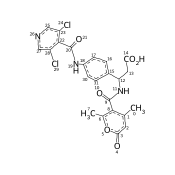 Cc1cc(=O)oc(C)c1C(=O)NC(CC(=O)O)c1ccc(NC(=O)c2c(Cl)cncc2Cl)cc1